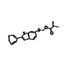 C=C(C)C(=O)OCSc1ccc2cc(-c3ccccc3)sc2c1